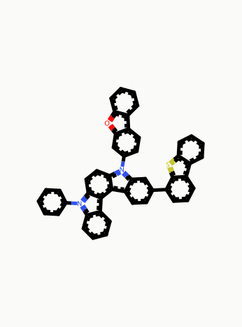 c1ccc(-n2c3ccccc3c3c4c5ccc(-c6cccc7c6sc6ccccc67)cc5n(-c5ccc6c(c5)oc5ccccc56)c4ccc32)cc1